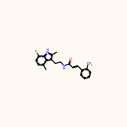 Cc1[nH]c2c(F)ccc(C)c2c1CCNC(=O)C=Cc1ccccc1C(F)(F)F